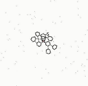 c1ccc(-c2ccc(N(c3cccc4c3C3(c5ccccc5-c5ccccc53)c3ccccc3-4)c3cccc4sc5ccccc5c34)cc2-c2ccccc2)cc1